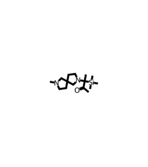 CC(=O)C(C)(N1CCC2(CCN(C)C2)C1)[Si](C)(C)C